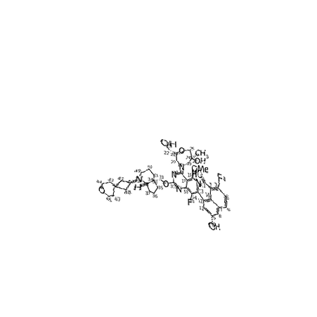 C#Cc1c(F)ccc2cc(O)cc(-c3nc(OC)c4c(N5C[C@H](CO)OC[C@@](C)(O)C5)nc(OC[C@]56CCC[C@H]5N(C5CC7(CCOCC7)C5)CCC6)nc4c3F)c12